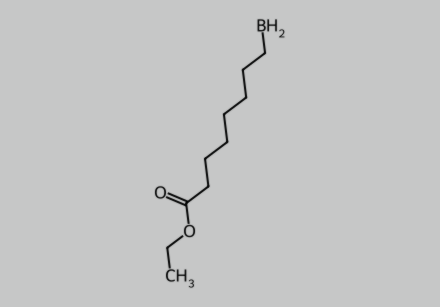 BCCCCCCCC(=O)OCC